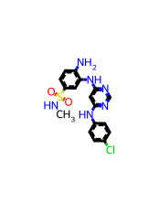 CNS(=O)(=O)c1ccc(N)c(Nc2cc(Nc3ccc(Cl)cc3)ncn2)c1